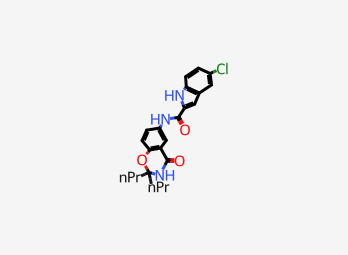 CCCC1(CCC)NC(=O)c2cc(NC(=O)c3cc4cc(Cl)ccc4[nH]3)ccc2O1